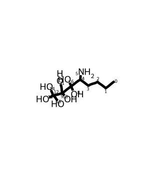 CCCCC(N)C(O)(O)C(O)(O)C(O)(O)O